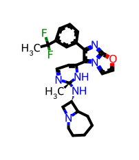 CC(F)(F)c1cccc(-c2nc3occn3c2C2=CC=N[C@@](C)(N[C@H]3CN4CCCCCC34)N2)c1